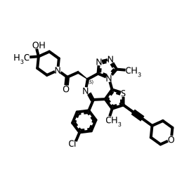 Cc1c(C#CC2CCOCC2)sc2c1C(c1ccc(Cl)cc1)=N[C@@H](CC(=O)N1CCC(C)(O)CC1)c1nnc(C)n1-2